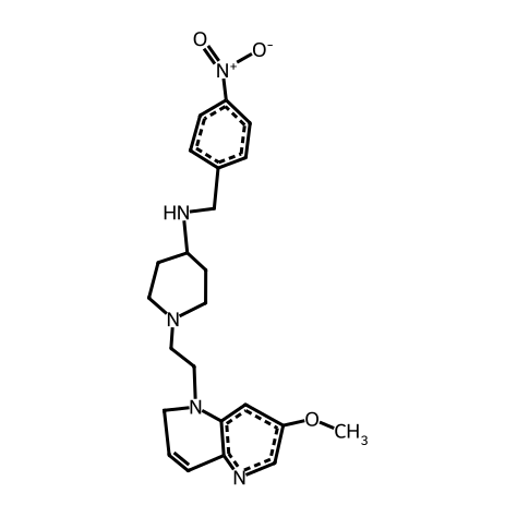 COc1cnc2c(c1)N(CCN1CCC(NCc3ccc([N+](=O)[O-])cc3)CC1)CC=C2